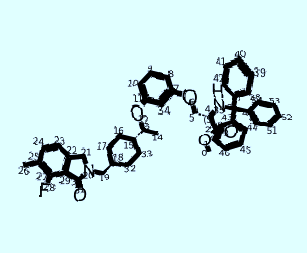 COC(=O)[C@H](COc1cccc(OC(C)[C@H]2CC[C@H](CN3Cc4ccc(C)c(F)c4C3=O)CC2)c1)NC(c1ccccc1)(c1ccccc1)c1ccccc1